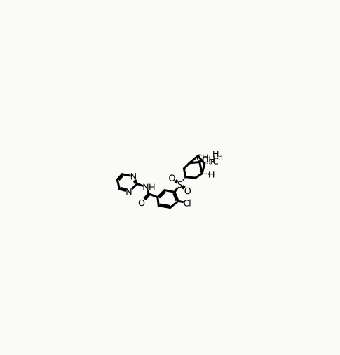 C[C@H]1CC2C[C@@H](S(=O)(=O)c3cc(C(=O)Nc4ncccn4)ccc3Cl)C[C@H]1[C@]2(C)O